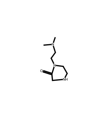 CN(C)CCN1CCNCC1=O